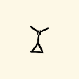 CN(C)C1[CH]C1